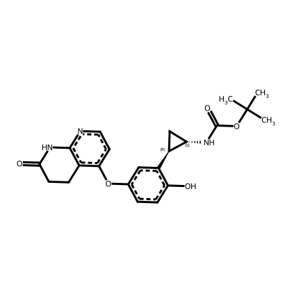 CC(C)(C)OC(=O)N[C@H]1C[C@@H]1c1cc(Oc2ccnc3c2CCC(=O)N3)ccc1O